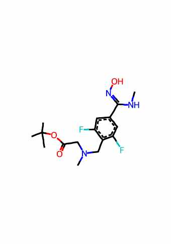 CN/C(=N\O)c1cc(F)c(CN(C)CC(=O)OC(C)(C)C)c(F)c1